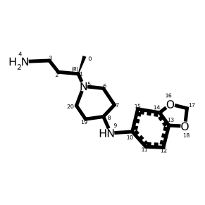 C[C@H](CCN)N1CCC(Nc2ccc3c(c2)OCO3)CC1